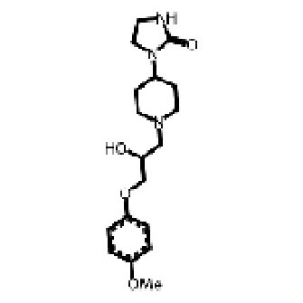 COc1ccc(OCC(O)CN2CCC(N3CCNC3=O)CC2)cc1